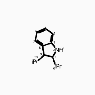 CC(C)C1Nc2ccccc2C1C(C)C